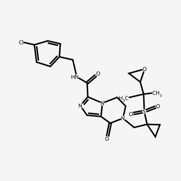 CC(C)(C1CO1)S(=O)(=O)C1(CN2CCn3c(cnc3C(=O)NCc3ccc(Cl)cc3)C2=O)CC1